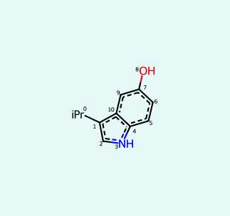 CC(C)c1c[nH]c2ccc(O)cc12